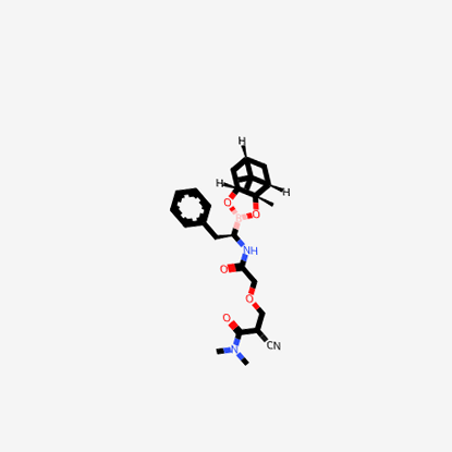 CN(C)C(=O)C(C#N)COCC(=O)N[C@@H](Cc1ccccc1)B1O[C@@H]2C[C@@H]3C[C@@H](C3(C)C)[C@]2(C)O1